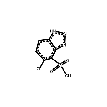 O=S(=O)(O)c1c(Cl)ccc2[nH]nnc12